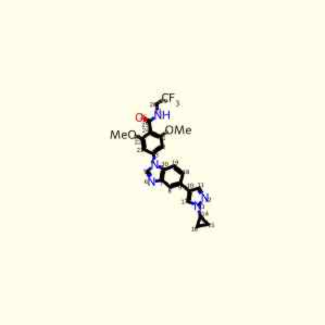 COc1cc(-n2cnc3cc(-c4cnn(C5CC5)c4)ccc32)cc(OC)c1C(=O)NCC(F)(F)F